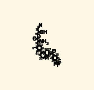 Cc1c(C[C@H](N)C(=O)OC[C@H](O)CC#N)ccc([C@H]2CCC[C@H]3CN(C(=O)c4ccc(C(F)(F)F)cc4)CCN32)c1C